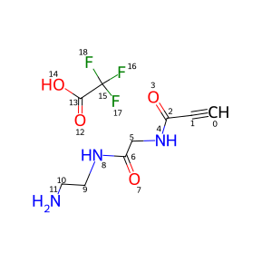 C#CC(=O)NCC(=O)NCCN.O=C(O)C(F)(F)F